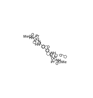 COC(=O)N[C@H](C(=O)N1CCC[C@H]1c1ncc(-c2ccc3c(c2)COc2cc4c(cc2-3)CCc2nc([C@@H]3C[C@H](COCC5CCCC5)CN3C(=O)[C@@H](NC(=O)OC)C(C)C)[nH]c2-4)[nH]1)C(C)C